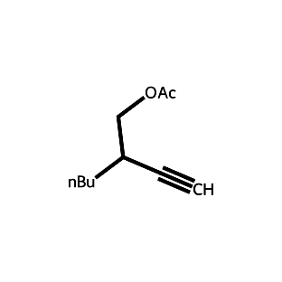 C#CC(CCCC)COC(C)=O